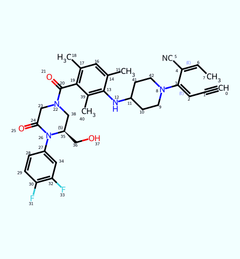 C#C/C=C(\C(C#N)=C/C)N1CCC(Nc2c(C)cc(C)c(C(=O)N3CC(=O)N(c4ccc(F)c(F)c4)[C@H](CO)C3)c2C)CC1